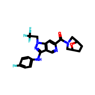 O=C(c1cc2c(cn1)c(Nc1ccc(F)cc1)nn2CC(F)(F)F)N1CC2CCC(C1)O2